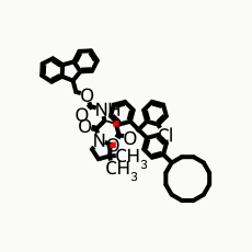 CC1(C)CCN(C(=O)[C@H](CC(=O)OC(c2ccccc2)(c2ccc(C3CCCCCCCCCCC3)cc2)c2ccccc2Cl)NC(=O)OCC2c3ccccc3-c3ccccc32)C1